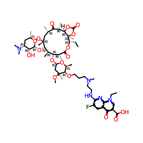 CC[C@@H]1OC(=O)[C@H](C)[C@H](O[C@@H]2C[C@](C)(OC)[C@H](OCCCN(C)CCNc3nc4c(cc3F)c(=O)c(C(=O)O)cn4CC)[C@H](C)O2)[C@@H](C)[C@H](O[C@H]2O[C@@H](C)C[C@@H](N(C)C)[C@H]2O)[C@](C)(OC)C[C@H](C)C(=O)[C@H](C)[C@H]2OC(=O)O[C@@]12C